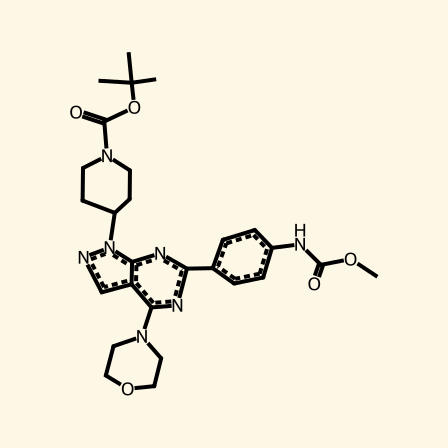 COC(=O)Nc1ccc(-c2nc(N3CCOCC3)c3cnn(C4CCN(C(=O)OC(C)(C)C)CC4)c3n2)cc1